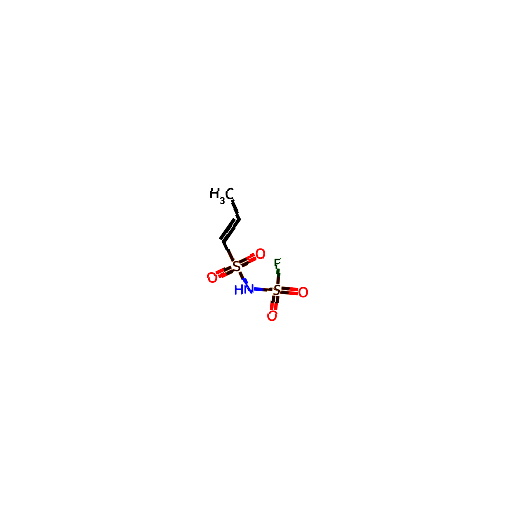 CC=CS(=O)(=O)NS(=O)(=O)F